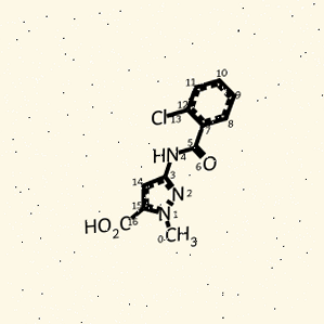 Cn1nc(NC(=O)c2ccccc2Cl)cc1C(=O)O